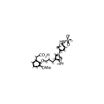 COc1cccc(CC(=O)O)c1OCCCc1cn(-c2ccc(NS(C)(=O)=O)cn2)nc1C(C)C